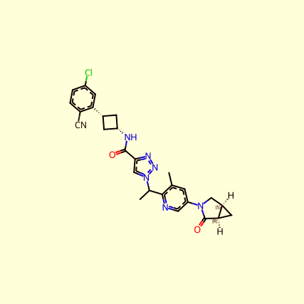 Cc1cc(N2C[C@H]3C[C@H]3C2=O)cnc1C(C)n1cc(C(=O)N[C@H]2C[C@@H](c3cc(Cl)ccc3C#N)C2)nn1